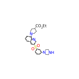 CCOC(=O)C1CCN(c2cccc3cc(S(=O)(=O)c4cccc(N5CCNCC5)c4)cnc23)CC1